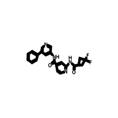 O=C(Nc1cncc(-c2ccccc2)c1)c1ccnc(NC(=O)C2CC(F)(F)C2)c1